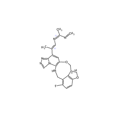 C=N/C(C)=N\C=C(/C)c1cc2c(n3cnnc13)NCc1c(F)ccc3c1[C@H](CO3)CO2